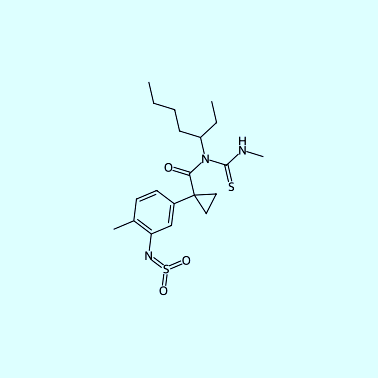 CCCCC(CC)N(C(=O)C1(c2ccc(C)c(N=S(=O)=O)c2)CC1)C(=S)NC